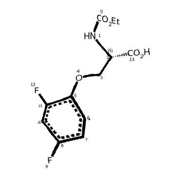 CCOC(=O)N[C@@H](COc1ccc(F)cc1F)C(=O)O